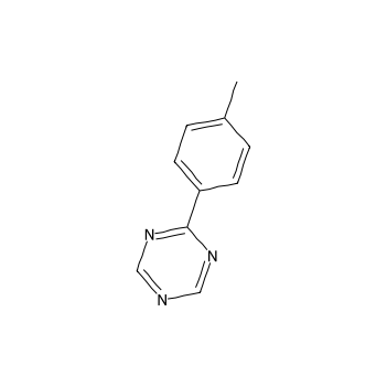 Cc1ccc(-c2ncncn2)cc1